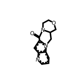 O=C1c2cc3ncccc3n2CC2COCCN12